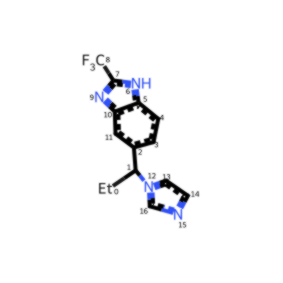 CCC(c1ccc2[nH]c(C(F)(F)F)nc2c1)n1ccnc1